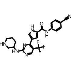 N#Cc1ccc(NC(=O)c2cc(-c3nc(NC4CCCNC4)ncc3C(F)(F)F)c[nH]2)cc1